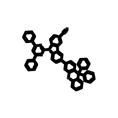 N#Cc1ccc2c(c1)c1cc(-c3ccc4c(c3)Oc3ccccc3C4(c3ccccc3)c3ccccc3)ccc1n2-c1nc(-c2ccccc2)cc(-c2ccccc2)n1